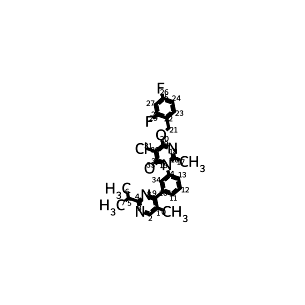 Cc1cnc(C(C)C)nc1-c1cccc(-n2c(C)nc(OCc3ccc(F)cc3F)c(Cl)c2=O)c1